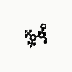 O=Cc1cc(-c2cc(C(F)(F)F)cc(C(F)(F)F)c2)nc(N2CCCC2)n1